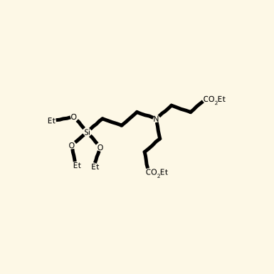 CCOC(=O)CCN(CCC[Si](OCC)(OCC)OCC)CCC(=O)OCC